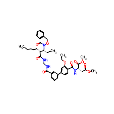 CCCCC[C@@H](C(=O)NCNC(=O)c1cccc(-c2ccc(C(=O)N[C@@H](CC(=O)OC)C(=O)OC)c(OCC)c2)c1)[C@@H](CC)N(C=O)OCc1ccccc1